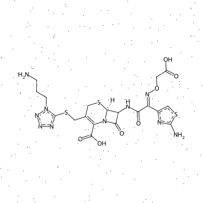 NCCCn1nnnc1SCC1=C(C(=O)O)N2C(=O)C(NC(=O)C(=NOCC(=O)O)c3csc(N)n3)[C@@H]2SC1